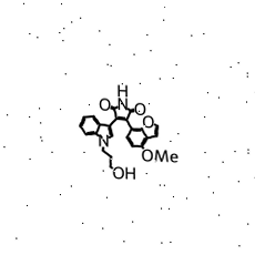 COc1ccc(C2=C(c3cn(CCCO)c4ccccc34)C(=O)NC2=O)c2occc12